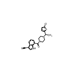 CC(c1ccc(Cl)s1)N1CCN(C(=O)c2cccc3c(C#N)c[nH]c23)CC1